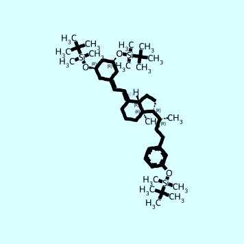 C[C@H](CCc1cccc(O[Si](C)(C)C(C)(C)C)c1)[C@H]1CC[C@H]2/C(=C/C=C3C[C@@H](O[Si](C)(C)C(C)(C)C)C[C@H](O[Si](C)(C)C(C)(C)C)C3)CCC[C@]12C